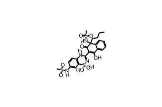 CCCCC1(NS(C)(=O)=O)C(=O)C(C2=NS(O)(O)c3cc(NS(C)(=O)=O)ccc3N2)=C(O)c2ccccc21